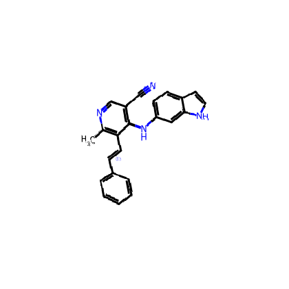 Cc1ncc(C#N)c(Nc2ccc3cc[nH]c3c2)c1/C=C/c1ccccc1